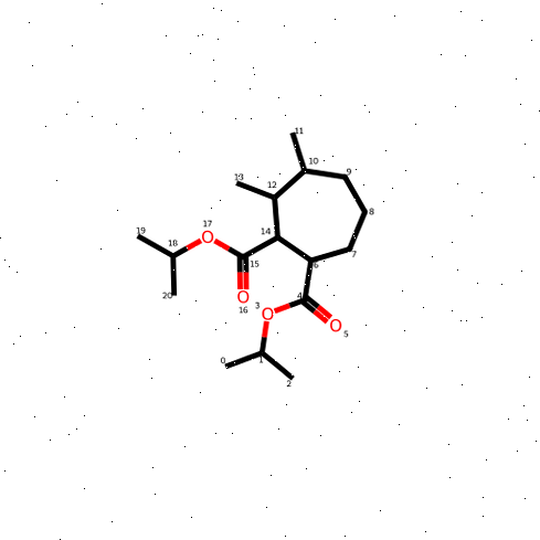 CC(C)OC(=O)C1CCCC(C)C(C)C1C(=O)OC(C)C